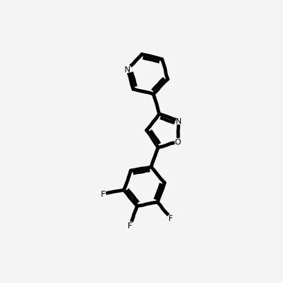 Fc1cc(-c2cc(-c3cccnc3)no2)cc(F)c1F